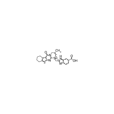 C=C(C)Cn1c(SCc2nc3ccc(C(=O)O)cc3[nH]2)nc2sc3c(c2c1=O)CCCC3